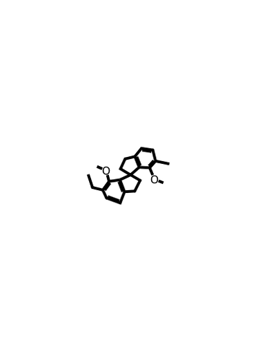 CCc1ccc2c(c1OC)C1(CCc3ccc(C)c(OC)c31)CC2